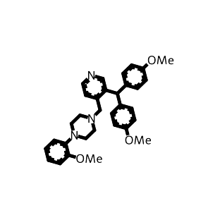 COc1ccc(C(c2ccc(OC)cc2)c2cnccc2CN2CCN(c3ccccc3OC)CC2)cc1